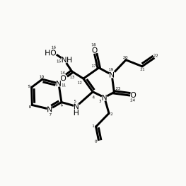 C=CCn1c(Nc2ncccn2)c(C(=O)NO)c(=O)n(CC=C)c1=O